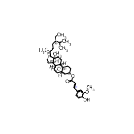 CC[C@H](CC[C@@H](C)[C@H]1CC[C@H]2[C@@H]3CC[C@H]4C[C@@H](OC(=O)/C=C/c5ccc(O)c(OC)c5)CC[C@]4(C)[C@H]3CC[C@]12C)C(C)C